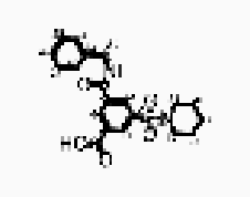 C[C@@H](NC(=O)c1cc(C(=O)O)cc(S(=O)(=O)N2CCCCC2)c1)c1ccccc1